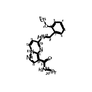 CCOc1ccccc1CNc1ccn2ncc(C(=O)NC(C)C)c2n1